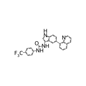 O=C(Nc1ccc(C(F)(F)F)cc1)Nc1c[nH]c2ccc(-c3cccc4cccnc34)cc12